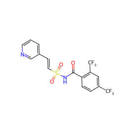 O=C(NS(=O)(=O)/C=C/c1cccnc1)c1ccc(C(F)(F)F)cc1C(F)(F)F